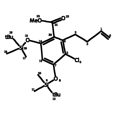 C=CCCc1c(Cl)c(O[Si](C)(C)C(C)(C)C)cc(O[Si](C)(C)C(C)(C)C)c1C(=O)OC